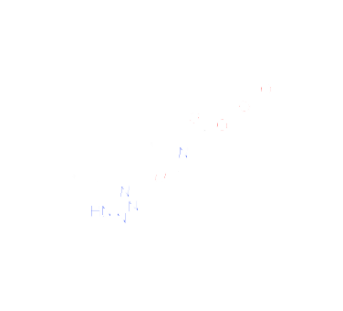 CCCCC(=O)N(Cc1ccc(-c2ccccc2-c2nnn[nH]2)cc1)[C@H](C(=O)OCO[C]=O)C(C)C